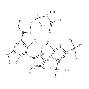 CCN(CCC(C)(C)CC(=O)O)c1cc2c(cc1CN(Cc1cc(C(F)(F)F)cc(C(F)(F)F)c1)c1noc(C)n1)CCC2.Cl